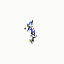 CCN1CCC(C)(C(=O)Nc2cc3cc(-c4cncs4)ccc3cn2)CC1